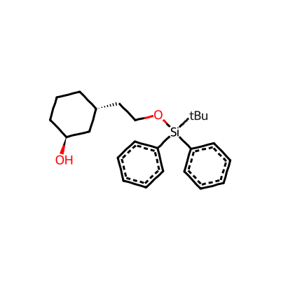 CC(C)(C)[Si](OCC[C@H]1CCC[C@H](O)C1)(c1ccccc1)c1ccccc1